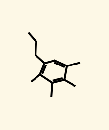 CCCc1cc(C)c(C)c(C)c1C